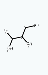 OC(F)C(O)CF